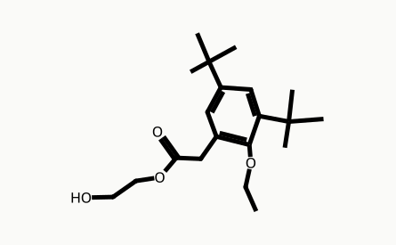 CCOc1c(CC(=O)OCCO)cc(C(C)(C)C)cc1C(C)(C)C